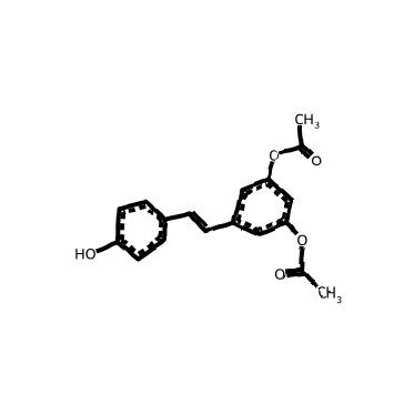 CC(=O)Oc1cc(/C=C/c2ccc(O)cc2)cc(OC(C)=O)c1